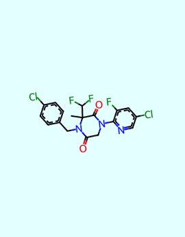 CC1(C(F)F)C(=O)N(c2ncc(Cl)cc2F)CC(=O)N1Cc1ccc(Cl)cc1